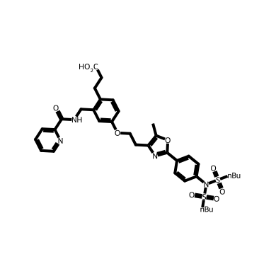 CCCCS(=O)(=O)N(c1ccc(-c2nc(CCOc3ccc(CCC(=O)O)c(CNC(=O)c4ccccn4)c3)c(C)o2)cc1)S(=O)(=O)CCCC